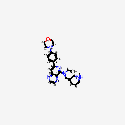 CCN(CC1CCCNC1)c1nc(-c2ccc(N3CCOCC3)cc2)cc2nccnc12